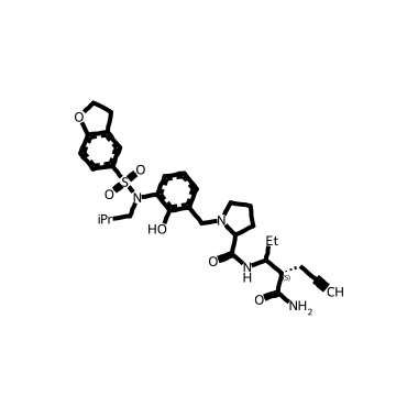 C#CC[C@H](C(N)=O)C(CC)NC(=O)C1CCCN1Cc1cccc(N(CC(C)C)S(=O)(=O)c2ccc3c(c2)CCO3)c1O